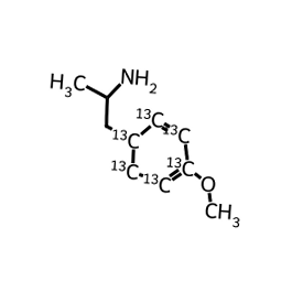 CO[13C]1=[13CH][13CH2][13CH](CC(C)N)[13CH]=[13CH]1